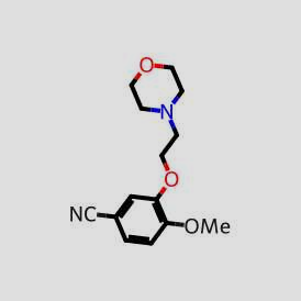 COc1ccc(C#N)cc1OCCN1CCOCC1